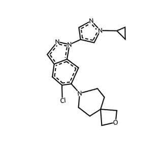 Clc1cc2cnn(-c3cnn(C4CC4)c3)c2cc1N1CCC2(CC1)COC2